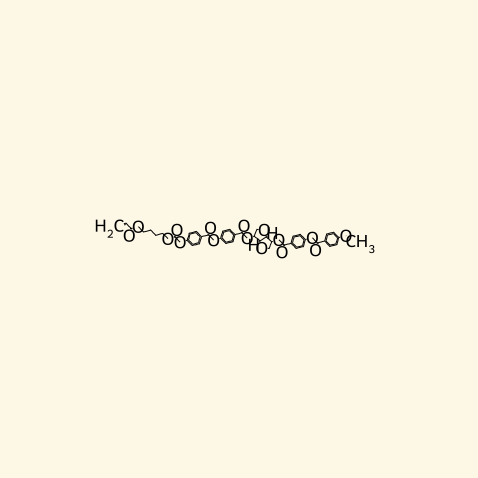 C=CC(=O)OCCCCOC(=O)Oc1ccc(C(=O)Oc2ccc(C(=O)O[C@H]3CO[C@H]4[C@@H]3OC[C@H]4OC(=O)c3ccc(OC(=O)c4ccc(OC)cc4)cc3)cc2)cc1